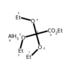 CCOC(=O)C(OCC)(OCC)OCC.[AlH3]